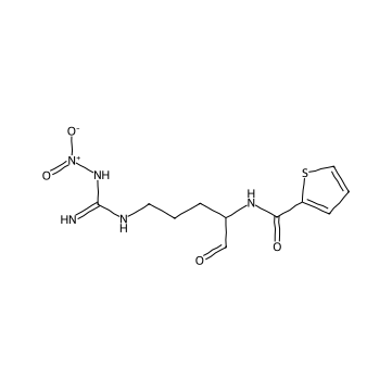 N=C(NCCCC(C=O)NC(=O)c1cccs1)N[N+](=O)[O-]